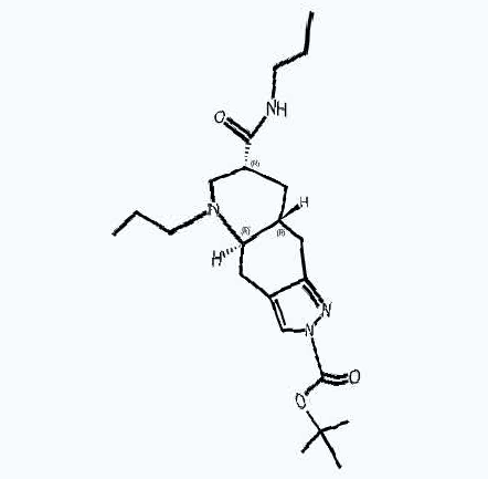 CCCNC(=O)[C@@H]1C[C@@H]2Cc3nn(C(=O)OC(C)(C)C)cc3C[C@H]2N(CCC)C1